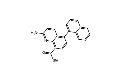 CC(C)(C)C(=O)c1ccc(-c2cccc3ccccc23)c2ccc(N)nc12